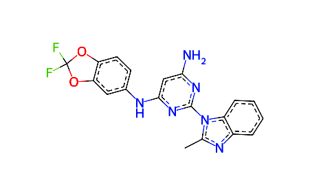 Cc1nc2ccccc2n1-c1nc(N)cc(Nc2ccc3c(c2)OC(F)(F)O3)n1